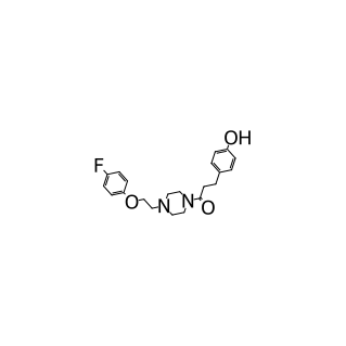 O=C(CCc1ccc(O)cc1)N1CCN(CCOc2ccc(F)cc2)CC1